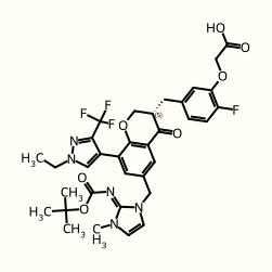 CCn1cc(-c2cc(Cn3ccn(C)c3=NC(=O)OC(C)(C)C)cc3c2OC[C@H](Cc2ccc(F)c(OCC(=O)O)c2)C3=O)c(C(F)(F)F)n1